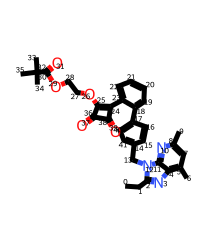 CCc1nc2c(C)cc(C)nc2n1Cc1ccc(-c2ccccc2-c2c(OCCOC(=O)C(C)(C)C)c(=O)c2=O)cc1